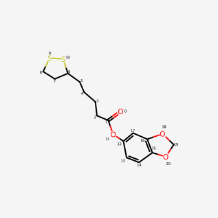 O=C(CCCCC1CCSS1)Oc1ccc2c(c1)OCO2